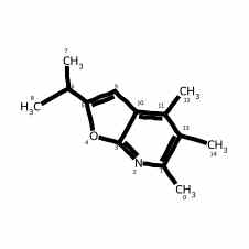 Cc1nc2oc(C(C)C)cc2c(C)c1C